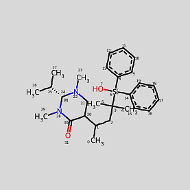 CC(CC(C)(C)[Si](O)(c1ccccc1)c1ccccc1)C1CN(C)[C@@H](C(C)C)N(C)C1=O